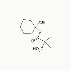 CC(C)(C(=O)O)C(=O)OC1(C(C)(C)C)CCCCC1